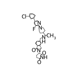 CC(NCc1ccc2c(c1)CN(C1CCC(=O)NC1=O)C2=O)C1CCN(c2ncc(-c3cccc(Cl)c3)cc2F)CC1